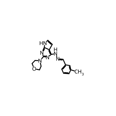 Cc1cccc(C=NNc2nc(N3CCOCC3)nc3[nH]ccc23)c1